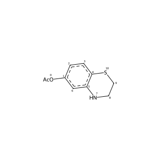 CC(=O)Oc1ccc2c(c1)NCCS2